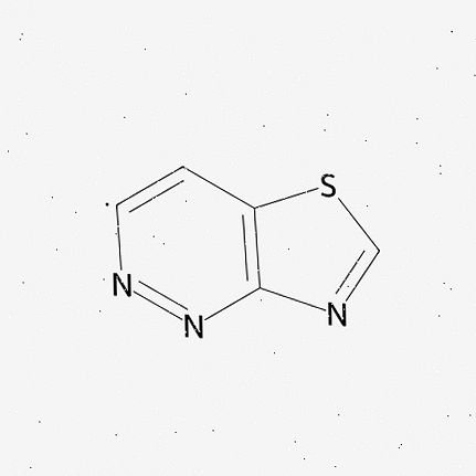 [c]1cc2scnc2nn1